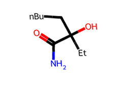 CCCCCC(O)(CC)C(N)=O